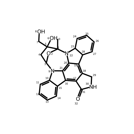 CC12OC(CC1(O)CO)n1c3ccccc3c3c4c(c5c(c31)N2C1C=CC=CC51)CNC4=O